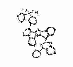 CC1(C)c2ccccc2-c2c(-c3cccc4c5ccccc5n5c(nc6c7ccccc7n(-c7nc(-c8ccccc8)c8ccccc8n7)c65)c34)cccc21